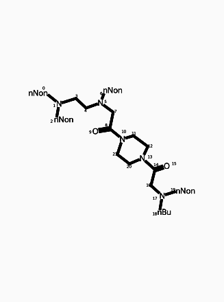 CCCCCCCCCN(CCCCCCCCC)CCN(CCCCCCCCC)CC(=O)N1CCN(C(=O)CN(CCCC)CCCCCCCCC)CC1